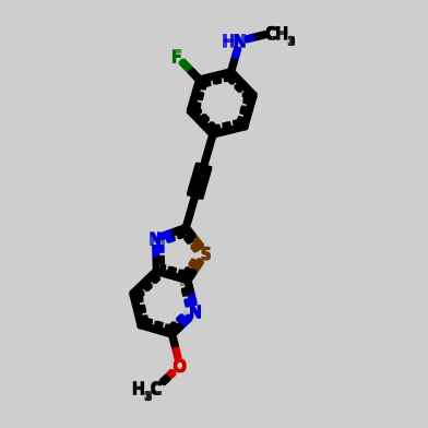 CNc1ccc(C#Cc2nc3ccc(OC)nc3s2)cc1F